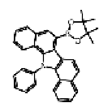 CC1(C)OB(c2cc3ccccc3c3c2c2ccc4ccccc4c2n3-c2ccccc2)OC1(C)C